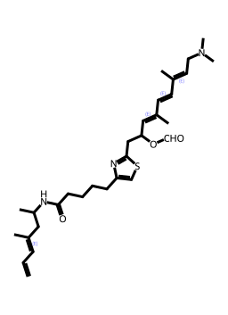 C=C/C=C(\C)CC(C)NC(=O)CCCCc1csc(CC(/C=C(C)/C=C/C(C)=C/CN(C)C)OC=O)n1